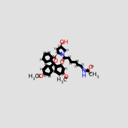 COc1ccc(C(OC[C@@H]2C[C@@H](O)CN2C(=O)CCCCCNC(C)=O)(c2ccccc2)c2ccc(OC)cc2)cc1